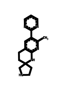 Cc1nc2c(cc1-c1ncccn1)CCC1(CCNC1)N2